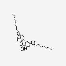 CCCCCCCCOc1ccc(C(=O)O)c(-c2ccc(OCCCCCCCC)c(F)c2)c1